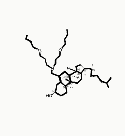 CCCCOCCCN(CCCOCCCC)CC1=C2C[C@@H](O)CC[C@]2(C)[C@H]2CC[C@]3(C)[C@@H]([C@H](C)CCCC(C)C)CC[C@H]3[C@@H]2C1